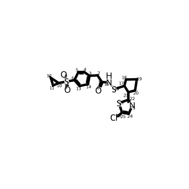 O=C(Cc1ccc(S(=O)(=O)C2CC2)cc1)NSC1CCCC1c1ncc(Cl)s1